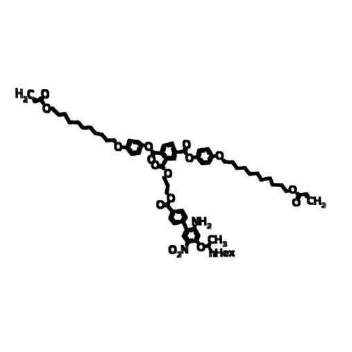 C=CC(=O)OCCCCCCCCCCCOc1ccc(OC(=O)c2ccc(C(=O)Oc3ccc(OCCCCCCCCCCCOC(=O)C=C)cc3)c(C(=O)OCCCOC(=O)c3ccc(-c4cc([N+](=O)[O-])c(O[C@@H](C)CCCCCC)cc4N)cc3)c2)cc1